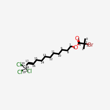 CC(C)(Br)C(=O)OCCCCCCCCCC=C[Si](Cl)(Cl)Cl